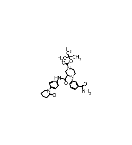 CC(C)(C)OC(=O)N1CCN(c2cccc(C(N)=O)c2)C(C(=O)Nc2ccc(N3CCCCC3=O)cc2)C1